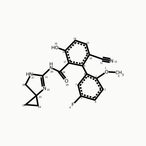 COc1ccc(F)cc1-c1c(C#N)ccc(O)c1C(=O)NC1=NC2(CC2)CN1